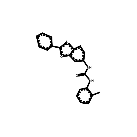 Cc1ccccc1NC(=O)Nc1ccc2nc(-c3ccccc3)oc2c1